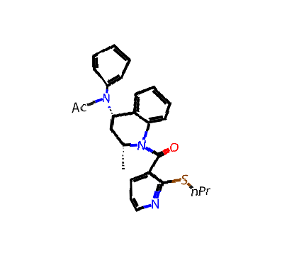 CCCSc1ncccc1C(=O)N1c2ccccc2[C@@H](N(C(C)=O)c2ccccc2)C[C@H]1C